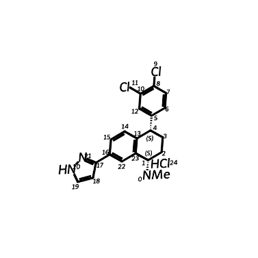 CN[C@H]1CC[C@@H](c2ccc(Cl)c(Cl)c2)c2ccc(-c3cc[nH]n3)cc21.Cl